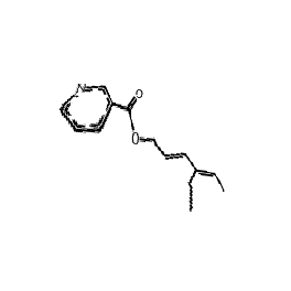 C/C=C(/C=C/COC(=O)c1cccnc1)CC